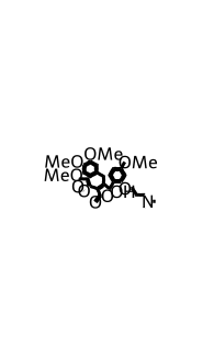 COc1ccc(C2(O)OC(=O)C(C3=CCOO3)=C2Cc2cc(OC)c(OC)c(OC)c2)c(OCCCN(C)C)c1